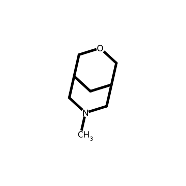 CN1CC2COCC(C2)C1